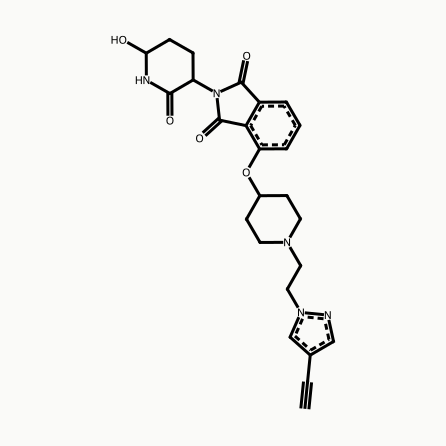 C#Cc1cnn(CCN2CCC(Oc3cccc4c3C(=O)N(C3CCC(O)NC3=O)C4=O)CC2)c1